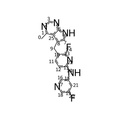 Cc1ncnc2[nH]cc(Cc3ccc(Nc4cncc(F)c4)nc3F)c12